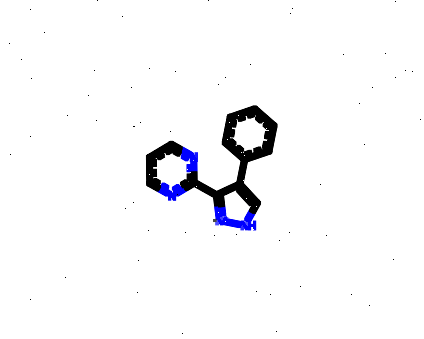 C1=C(c2ccccc2)C(c2ncccn2)=[N+]N1